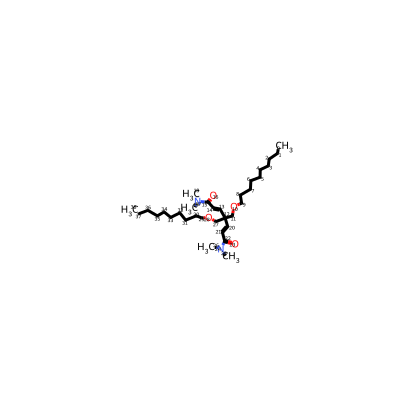 CCCCCCCCCCOCC(C=CC(=O)N(C)C)(C=CC(=O)N(C)C)COCCCCCCCCCC